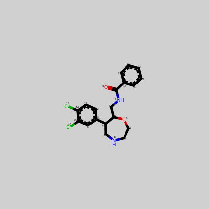 O=C(NCC1OCCNCC1c1ccc(Cl)c(Cl)c1)c1ccccc1